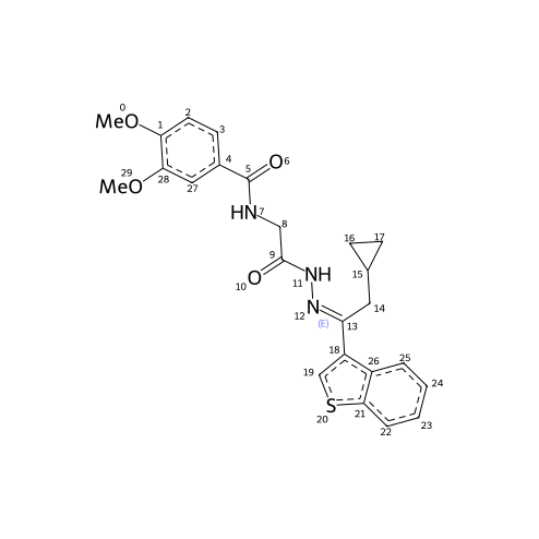 COc1ccc(C(=O)NCC(=O)N/N=C(\CC2CC2)c2csc3ccccc23)cc1OC